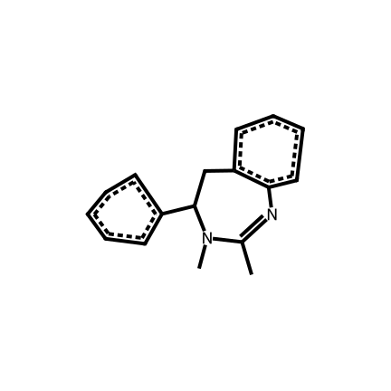 CC1=Nc2ccccc2CC(c2ccccc2)N1C